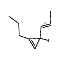 CCCC1=CC1(I)/C=C/I